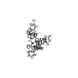 COC(=O)[C@@H](C[C@H](OS(=O)(=O)c1ccc(C)cc1)C(=O)OC)CP(=O)(OCc1ccccc1)OCc1ccccc1